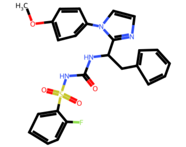 COc1ccc(-n2ccnc2C(Cc2ccccc2)NC(=O)NS(=O)(=O)c2ccccc2F)cc1